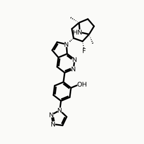 C[C@]12CC[C@](C)(N1)[C@H](F)[C@H](n1ccc3cc(-c4ccc(-n5ccnn5)cc4O)nnc31)C2